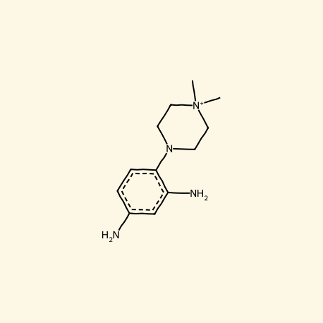 C[N+]1(C)CCN(c2ccc(N)cc2N)CC1